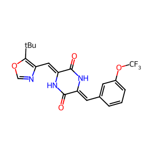 CC(C)(C)c1ocnc1/C=c1\[nH]c(=O)/c(=C/c2cccc(OC(F)(F)F)c2)[nH]c1=O